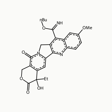 CCCCOC(=N)c1c2c(nc3ccc(OC)cc13)-c1cc3c(c(=O)n1C2)COC(=O)C3(O)CC